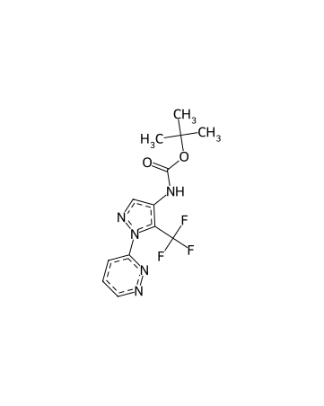 CC(C)(C)OC(=O)Nc1cnn(-c2cccnn2)c1C(F)(F)F